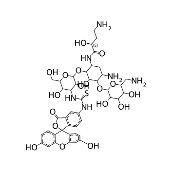 NCC[C@H](O)C(=O)NC1CC(N)C(OC2OC(CN)C(O)C(O)C2O)C(O)C1OC1OC(CO)C(O)C(NC(=S)Nc2ccc3c(c2)C(=O)OC32c3ccc(O)cc3Oc3cc(O)ccc32)C1O